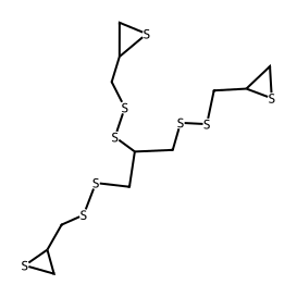 C(SSCC(CSSCC1CS1)SSCC1CS1)C1CS1